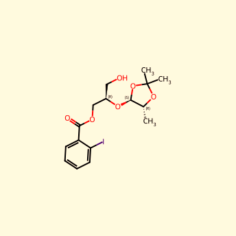 C[C@H]1OC(C)(C)O[C@@H]1O[C@H](CO)COC(=O)c1ccccc1I